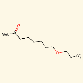 COC(=O)CCCCCCOCCC(F)(F)F